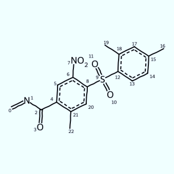 C=NC(=O)c1cc([N+](=O)[O-])c(S(=O)(=O)c2ccc(C)cc2C)cc1C